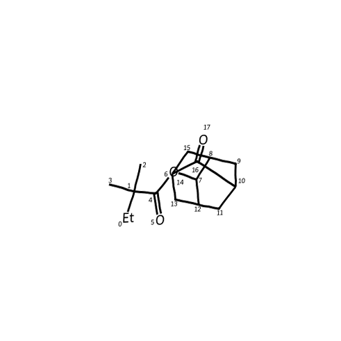 CCC(C)(C)C(=O)OC1C2CC3CC1CC(C2)C3=O